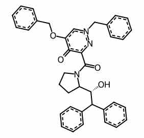 O=C(c1nn(Cc2ccccc2)cc(OCc2ccccc2)c1=O)N1CCCC1[C@H](O)C(c1ccccc1)c1ccccc1